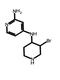 Nc1cc(NC2CCNCC2Br)ccn1